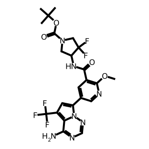 COc1ncc(-c2cc(C(F)(F)F)c3c(N)ncnn23)cc1C(=O)NC1CN(C(=O)OC(C)(C)C)CC1(F)F